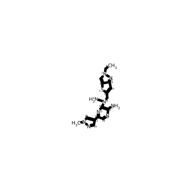 CCn1cc2sc(CN(N)c3nc(-c4cnn(C)c4)cnc3N)cc2n1